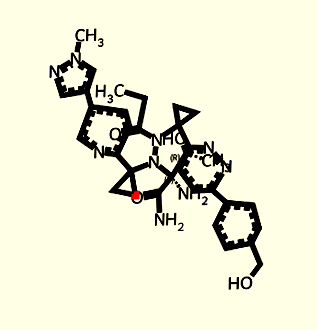 CCC(=O)N(N(C1(c2ccc(-c3cnn(C)c3)cn2)CC1)[C@](N)(C(N)=O)[C@@H](C)O)C1(c2ccc(-c3ccc(CO)cc3)nn2)CC1